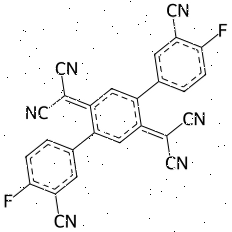 N#CC(C#N)=c1cc(-c2ccc(F)c(C#N)c2)c(=C(C#N)C#N)cc1-c1ccc(F)c(C#N)c1